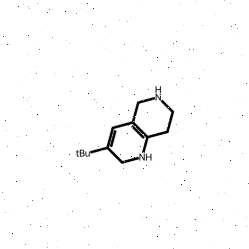 CC(C)(C)C1=CC2=C(CCNC2)NC1